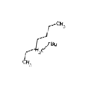 CCCCC.CCCCCCC